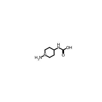 NN1CCC(NC(=O)O)CC1